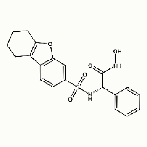 O=C(NO)[C@@H](NS(=O)(=O)c1ccc2c3c(oc2c1)CCCC3)c1ccccc1